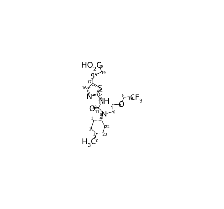 C[C@H]1CC[C@H](N(CCOCC(F)(F)F)C(=O)Nc2ncc(SCC(=O)O)s2)CC1